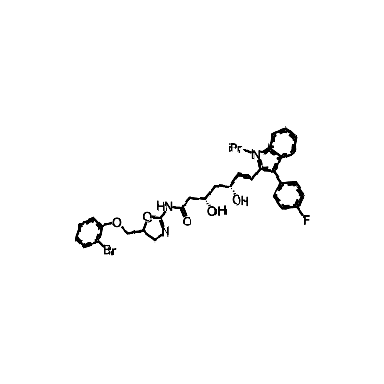 CC(C)n1c(/C=C/[C@H](O)C[C@H](O)CC(=O)NC2=NCC(COc3ccccc3Br)O2)c(-c2ccc(F)cc2)c2ccccc21